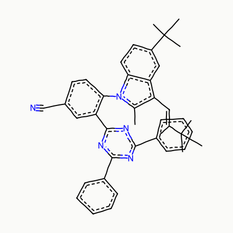 C/C(=C\c1c(C)n(-c2ccc(C#N)cc2-c2nc(-c3ccccc3)nc(-c3ccccc3)n2)c2ccc(C(C)(C)C)cc12)C(C)(C)C